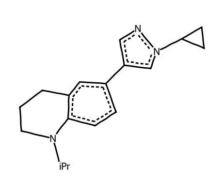 CC(C)N1CCCc2cc(-c3cnn(C4CC4)c3)ccc21